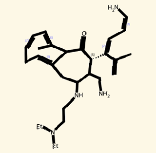 C=C(C)/C(=C\C=C/N)[C@H]1C(=O)C2/C(C)=C/C=C\C/C=C/2CC(NCCN(CC)CC)C1CN